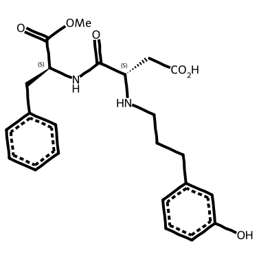 COC(=O)[C@H](Cc1ccccc1)NC(=O)[C@H](CC(=O)O)NCCCc1cccc(O)c1